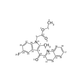 CCOC(=O)Cn1c(C)c(C(=O)c2ccc3ccccc3n2)c2cc(F)ccc21